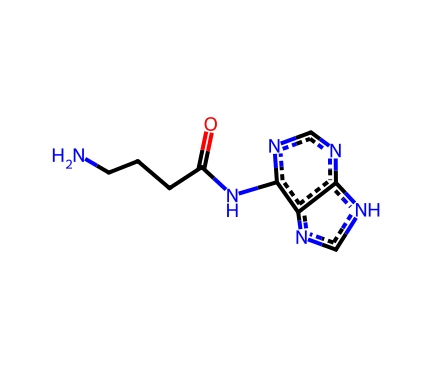 NCCCC(=O)Nc1ncnc2[nH]cnc12